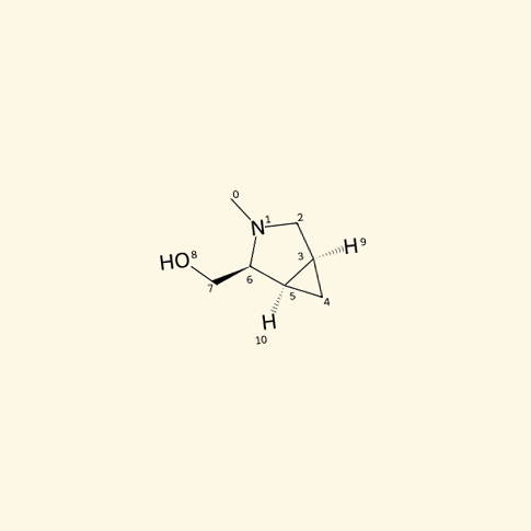 CN1C[C@H]2C[C@H]2[C@H]1CO